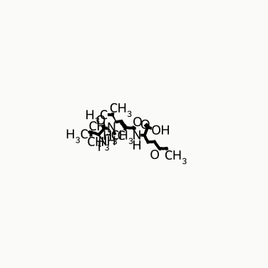 CCC(=O)CCC(NC(=O)/C(C)=C/[C@H](C(C)C)N(C)C(=O)[C@@H](NI)C(C)(C)C)C(=O)O